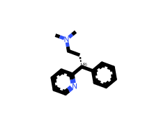 CN(C)CC[C@H](c1ccccc1)c1ccccn1